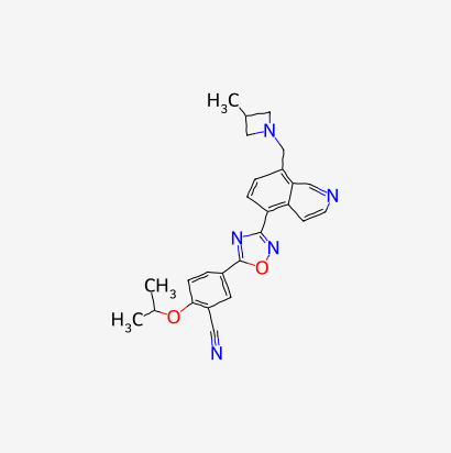 CC1CN(Cc2ccc(-c3noc(-c4ccc(OC(C)C)c(C#N)c4)n3)c3ccncc23)C1